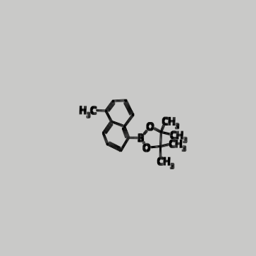 Cc1cccc2c(B3OC(C)(C)C(C)(C)O3)cccc12